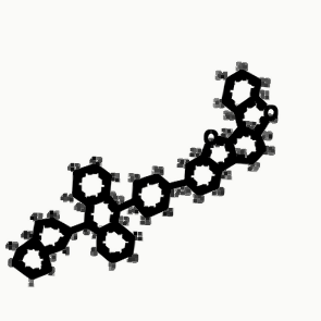 c1ccc2cc(-c3c4ccccc4c(-c4ccc(-c5ccc6c(c5)oc5c6ccc6oc7ccccc7c65)cc4)c4ccccc34)ccc2c1